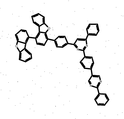 c1ccc(-c2cc(-c3ccc(-c4ccc(-c5cccc6oc7ccccc7c56)c5c4oc4ccccc45)cc3)nc(-c3ccc(-c4cnc(-c5ccccc5)nc4)cc3)n2)cc1